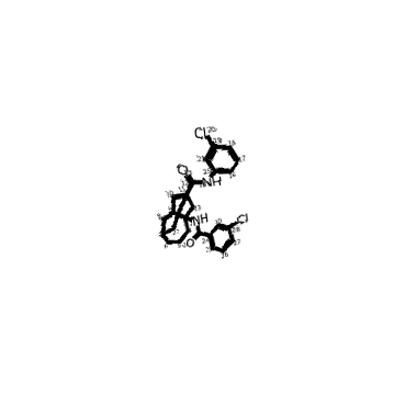 O=C(NC12CCCC3CC1CC(C(=O)Nc1cccc(Cl)c1)(C3)C2)c1cccc(Cl)c1